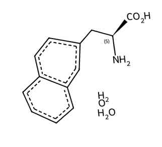 N[C@@H](Cc1ccc2ccccc2c1)C(=O)O.O.O